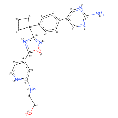 Nc1ncc(-c2ccc(C3(c4noc(-c5ccnc(NCCO)c5)n4)CCC3)cc2)cn1